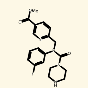 COC(=O)c1ccc(CN(C(=O)N2CCNCC2)c2cccc(F)c2)nc1